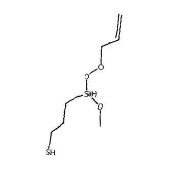 C=CCOO[SiH](CCCS)OC